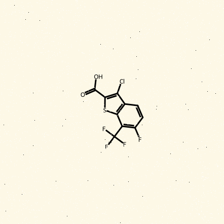 O=C(O)c1sc2c(C(F)(F)F)c(F)ccc2c1Cl